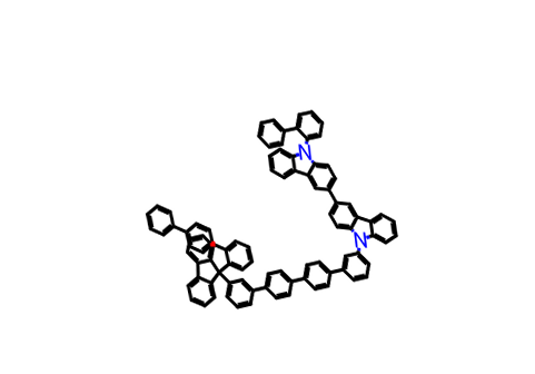 c1ccc(-c2ccc(-c3ccccc3C3(c4cccc(-c5ccc(-c6ccc(-c7cccc(-n8c9ccccc9c9cc(-c%10ccc%11c(c%10)c%10ccccc%10n%11-c%10ccccc%10-c%10ccccc%10)ccc98)c7)cc6)cc5)c4)c4ccccc4-c4ccccc43)cc2)cc1